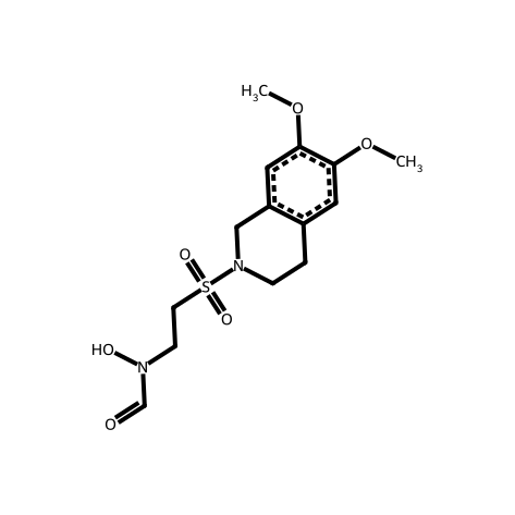 COc1cc2c(cc1OC)CN(S(=O)(=O)CCN(O)C=O)CC2